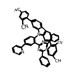 N#Cc1ccc(-c2ccc3c4ccc(-c5ccc(C#N)cc5C#N)cc4n(-c4ccc(-c5ccccn5)cc4-c4nc(-c5ccccc5)nc(-c5ccccc5)n4)c3c2)c(C#N)c1